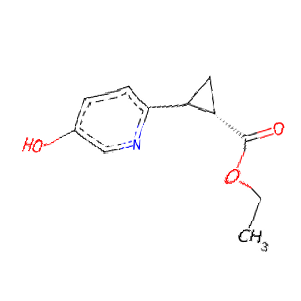 CCOC(=O)[C@H]1CC1c1ccc(O)cn1